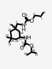 CCCOC(=O)NCC1(C)CC(NC(=O)OC(C)C)CC(C)(C)C1